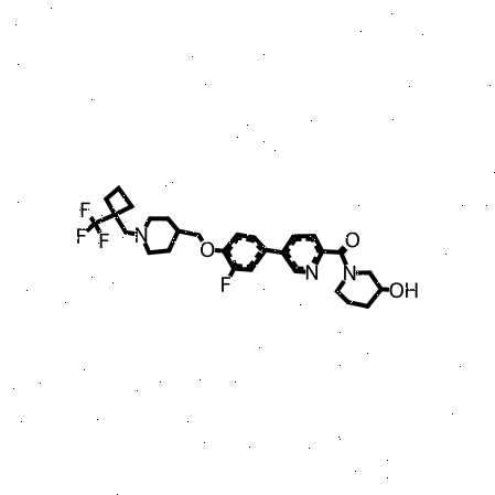 O=C(c1ccc(-c2ccc(OCC3CCN(CC4(C(F)(F)F)CCC4)CC3)c(F)c2)cn1)N1CCCC(O)C1